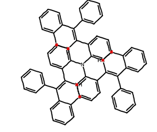 c1ccc(C2=C(c3ccccc3N(c3ccccc3C3=C(c4ccccc4)c4ccccc4SN3)c3ccccc3C3=C(c4ccccc4)c4ccccc4SN3)NSc3ccccc32)cc1